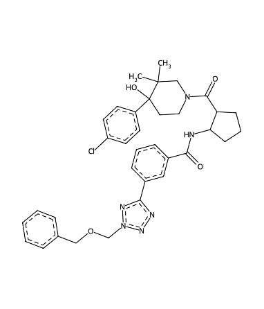 CC1(C)CN(C(=O)C2CCCC2NC(=O)c2cccc(-c3nnn(COCc4ccccc4)n3)c2)CCC1(O)c1ccc(Cl)cc1